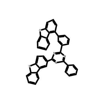 c1ccc(-c2nc(-c3cccc(-c4cccc5oc6ccccc6c45)c3)nc(-c3ccc4sc5ccccc5c4c3)n2)cc1